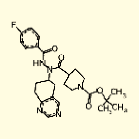 CC(C)(C)OC(=O)N1CCC(C(=O)N(NC(=O)c2ccc(F)cc2)C2CCc3ncncc3C2)CC1